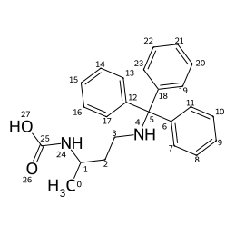 CC(CCNC(c1ccccc1)(c1ccccc1)c1ccccc1)NC(=O)O